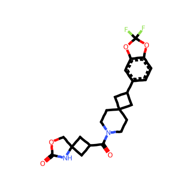 O=C1NC2(CO1)CC(C(=O)N1CCC3(CC1)CC(c1ccc4c(c1)OC(F)(F)O4)C3)C2